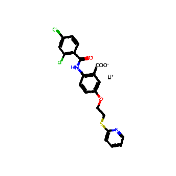 O=C(Nc1ccc(OCCSc2ccccn2)cc1C(=O)[O-])c1ccc(Cl)cc1Cl.[Li+]